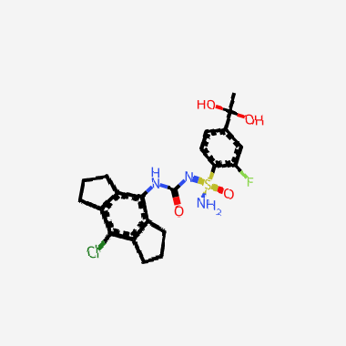 CC(O)(O)c1ccc([S@](N)(=O)=NC(=O)Nc2c3c(c(Cl)c4c2CCC4)CCC3)c(F)c1